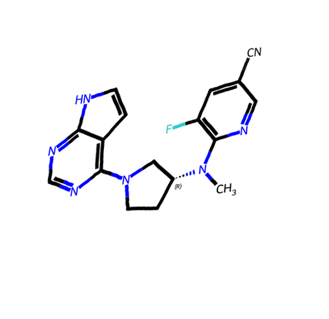 CN(c1ncc(C#N)cc1F)[C@@H]1CCN(c2ncnc3[nH]ccc23)C1